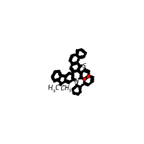 CC1(C)c2ccccc2-c2ccc(N(c3ccccc3-c3ccccc3)c3cccc4sc5c(ccc6ccc7ccccc7c65)c34)cc21